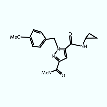 CNC(=O)c1cc(C(=O)NC2CC2)n(Cc2ccc(OC)cc2)n1